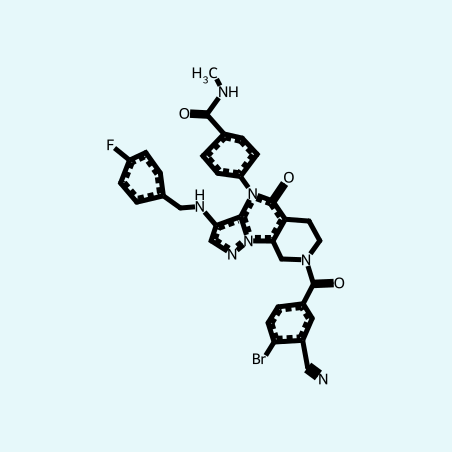 CNC(=O)c1ccc(-n2c(=O)c3c(n4ncc(NCc5ccc(F)cc5)c24)CN(C(=O)c2ccc(Br)c(C#N)c2)CC3)cc1